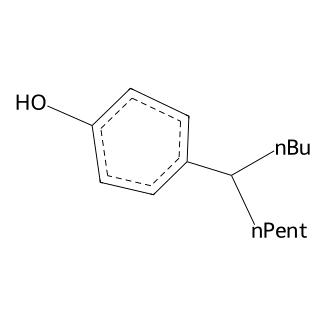 CCCCCC(CCCC)c1ccc(O)cc1